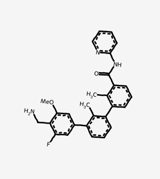 COc1cc(-c2cccc(-c3cccc(C(=O)Nc4ccccn4)c3C)c2C)cc(F)c1CN